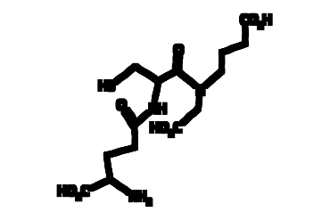 NC(CCC(=O)NC(CS)C(=O)N(CCCC(=O)O)CC(=O)O)C(=O)O